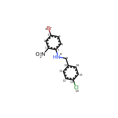 O=[N+]([O-])c1cc(Br)ccc1NCc1ccc(Cl)cc1